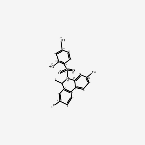 CC1c2cc(F)ccc2-c2ccc(F)cc2N1S(=O)(=O)c1ccc(O)cc1O